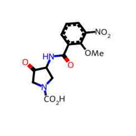 COc1c(C(=O)NC2CN(C(=O)O)CC2=O)cccc1[N+](=O)[O-]